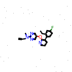 C#CCN(C)c1ncc(Oc2ncccc2-c2ccc(F)cc2CC)cn1